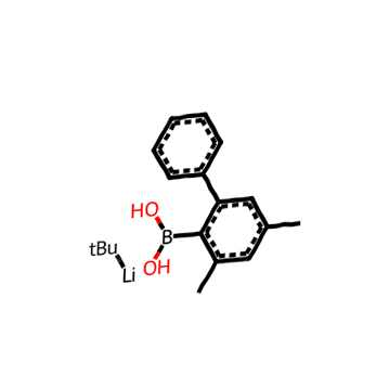 Cc1cc(C)c(B(O)O)c(-c2ccccc2)c1.[Li][C](C)(C)C